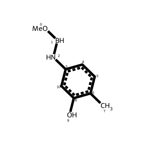 COBNc1ccc(C)c(O)c1